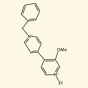 CC[n+]1ccc(-c2cc[n+](Cc3ccccc3)cc2)c(OC)c1